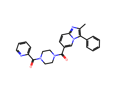 Cc1nc2ccc(C(=O)N3CCN(C(=O)c4ccccn4)CC3)cn2c1-c1ccccc1